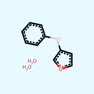 B(c1ccccc1)c1ccoc1.O.O